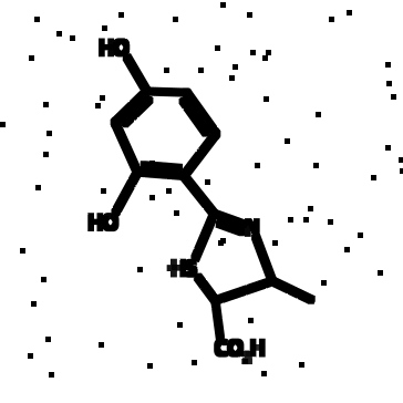 CC1N=C(c2ccc(O)cc2O)[SH]C1C(=O)O